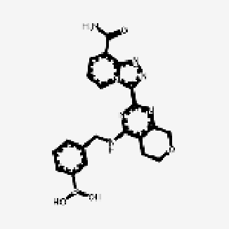 NC(=O)c1cccn2c(-c3nc4c(c(NCc5cccc(B(O)O)c5)n3)CCOC4)nnc12